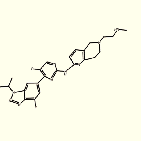 CNCCN1CCc2nc(Nc3ncc(F)c(-c4cc(F)c5nnn(C(C)C)c5c4)n3)ccc2C1